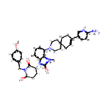 COc1ccc(CN2C(=O)CC[C@@H](n3c(=O)n(C)c4c(N5CCC6(CC=C(c7ccc(N)nc7)CC6)CC5)cccc43)C2=O)cc1